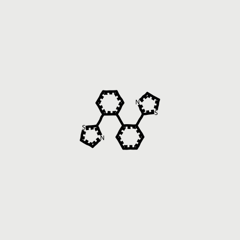 c1ccc(-c2ccccc2-c2nccs2)c(-c2nccs2)c1